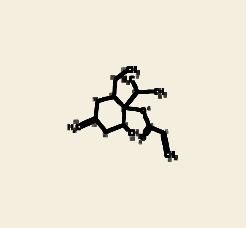 C=CC(=O)OC1(C(C)C)C(C)CC(=C)CC1CC